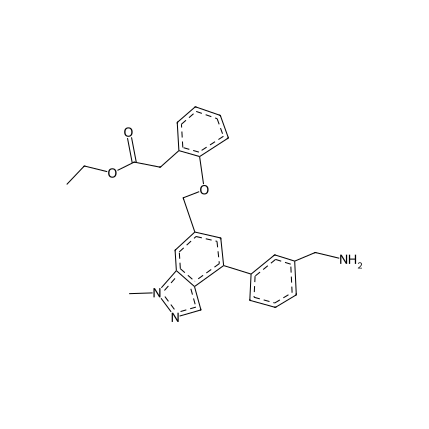 CCOC(=O)Cc1ccccc1OCc1cc(-c2cccc(CN)c2)c2cnn(C)c2c1